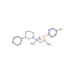 CC(CC(C)(C)N1CCCC(c2ccccc2)C1)Oc1ccc(S)cn1